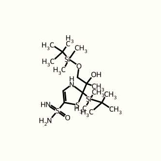 CC(O)(CO[Si](C)(C)C(C)(C)C)C1([Si](C)(C)C(C)(C)C)NC=C(S(=N)(N)=O)S1